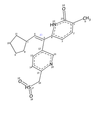 Cc1ccc(/C(=C/C2CCCC2)c2ccc(C[SH](=O)=O)nc2)[nH]c1=O